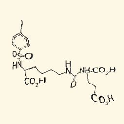 O=C(O)CCC(NC(=O)NCCCCC(NS(=O)(=O)c1ccc(I)cc1)C(=O)O)C(=O)O